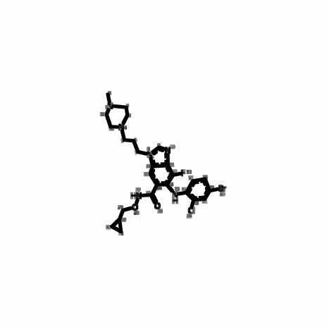 CN1CCN(CCCn2cnc3c(F)c(Nc4ccc(Br)cc4Cl)c(C(=O)NOCC4CC4)cc32)CC1